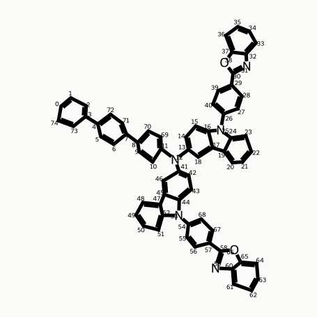 c1ccc(-c2ccc(-c3ccc(N(c4ccc5c(c4)c4ccccc4n5-c4ccc(-c5nc6ccccc6o5)cc4)c4ccc5c(c4)c4ccccc4n5-c4ccc(-c5nc6ccccc6o5)cc4)cc3)cc2)cc1